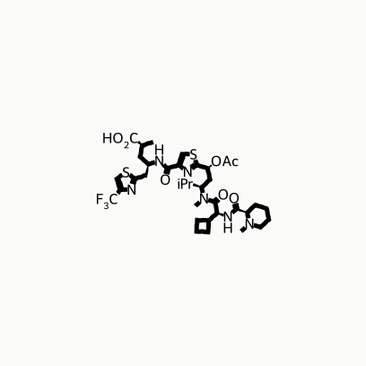 CC(=O)O[C@H](C[C@H](C(C)C)N(C)C(=O)[C@@H](NC(=O)[C@H]1CCCCN1C)C1CCC1)c1nc(C(=O)N[C@@H](Cc2nc(C(F)(F)F)cs2)C[C@H](C)C(=O)O)cs1